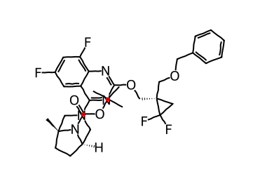 CC(C)(C)OC(=O)N1[C@@H]2CC[C@]1(C)CN(c1nc(OC[C@]3(COCc4ccccc4)CC3(F)F)nc3c(F)cc(F)cc13)C2